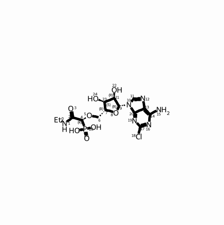 CCNC(=O)[C@H](OC[C@H]1O[C@@H](n2cnc3c(N)nc(Cl)nc32)[C@H](O)[C@@H]1O)P(=O)(O)O